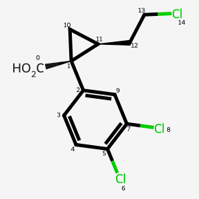 O=C(O)[C@@]1(c2ccc(Cl)c(Cl)c2)C[C@H]1CCCl